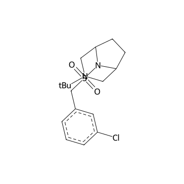 CC(C)(C)N1CC2CCC(C1)N2S(=O)(=O)Cc1cccc(Cl)c1